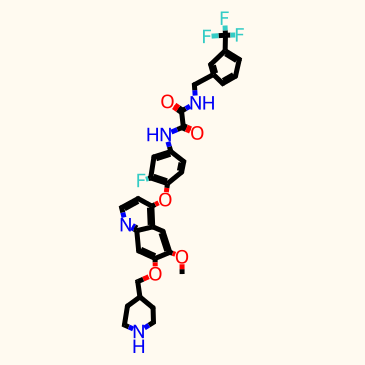 COc1cc2c(Oc3ccc(NC(=O)C(=O)NCc4cccc(C(F)(F)F)c4)cc3F)ccnc2cc1OCC1CCNCC1